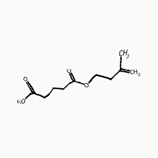 C=C(C)CCOC(=O)CCCC(=O)O